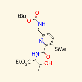 CCOC(=O)C(NC(=O)c1nc(CNC(=O)OC(C)(C)C)ccc1SC)C(C)O